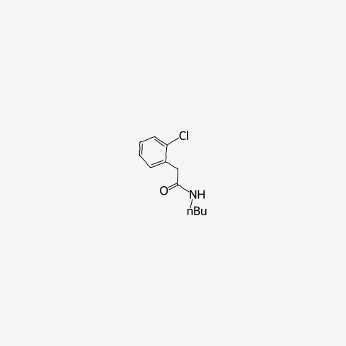 CCCCNC(=O)Cc1ccccc1Cl